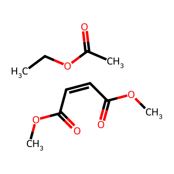 CCOC(C)=O.COC(=O)/C=C\C(=O)OC